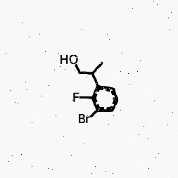 C[C](CO)c1cccc(Br)c1F